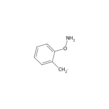 [CH2]c1ccccc1ON